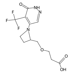 O=C(O)CCOCC1CCN1c1cn[nH]c(=O)c1C(F)(F)F